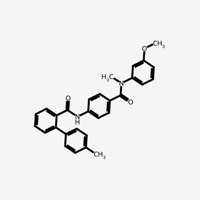 COc1cccc(N(C)C(=O)c2ccc(NC(=O)c3ccccc3-c3ccc(C)cc3)cc2)c1